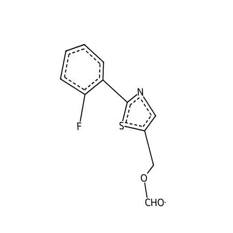 O=[C]OCc1cnc(-c2ccccc2F)s1